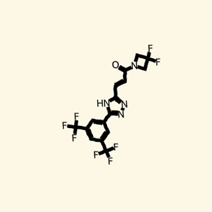 O=C(C=Cc1nnc(-c2cc(C(F)(F)F)cc(C(F)(F)F)c2)[nH]1)N1CC(F)(F)C1